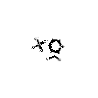 ClCCl.[O]=[Cr](=[O])([O-])[Cl].c1cc[nH+]cc1